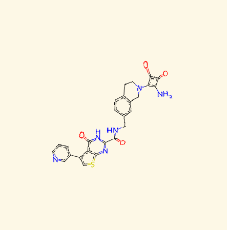 Nc1c(N2CCc3ccc(CNC(=O)c4nc5scc(-c6cccnc6)c5c(=O)[nH]4)cc3C2)c(=O)c1=O